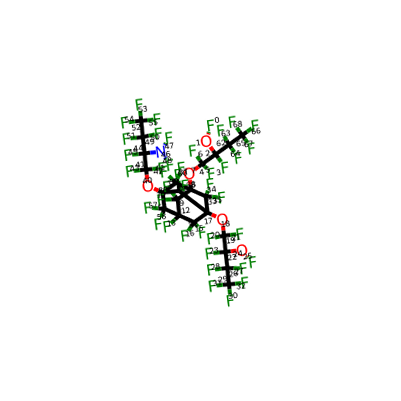 FOC(F)(C(F)(F)OC12C(F)(F)C3(F)C(F)(F)C(OC(F)(F)C(F)(OF)C(F)(F)C(F)(F)F)(C1(F)F)C(F)(F)C(OC(F)(F)C(F)(N(F)F)C(F)(F)C(F)(F)F)(C3(F)F)C2(F)F)C(F)(F)C(F)(F)F